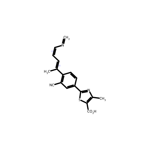 C=N/C=C\C=C(/C)c1ccc(-c2nc(C)c(C(=O)O)s2)cc1C#N